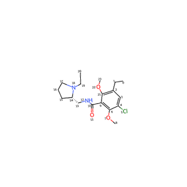 CCc1cc(Cl)c(OC)c(C(=O)NC[C@@H]2CCCN2CC)c1OC